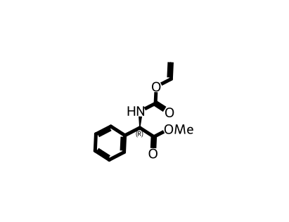 C=COC(=O)N[C@@H](C(=O)OC)c1ccccc1